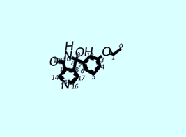 CCOc1cccc(C2(O)NC(=O)c3cnccc32)c1